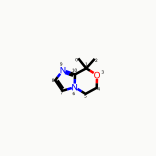 CC1(C)OCCn2ccnc21